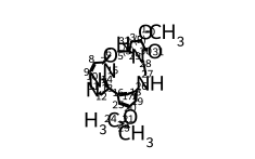 CO[C@@H]1C[C@H]2COc3ccn4ncc(c4n3)-c3cc(cc(OC(C)C)c3)NCCN2C1=O